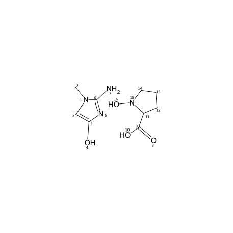 Cn1cc(O)nc1N.O=C(O)C1CCCN1O